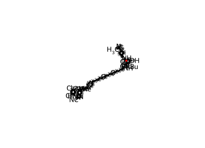 COc1cc(Nc2c(C#N)cnc3cc(OCCCN4CCN(CCCCCCOCCCCCOCCCCCC(=O)NC(C(=O)N5C[C@H](O)C[C@H]5C(=O)NCc5ccc(-c6scnc6C)cc5)C(C)(C)C)CC4)c(OC)cc23)c(Cl)cc1Cl